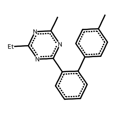 CCc1nc(C)nc(-c2ccccc2-c2ccc(C)cc2)n1